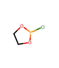 ClP1OCCO1